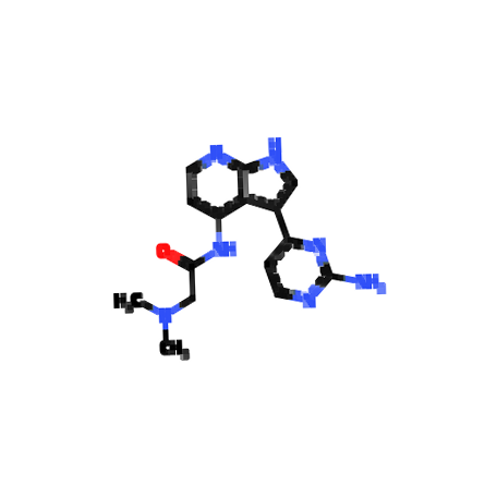 CN(C)CC(=O)Nc1ccnc2[nH]cc(-c3ccnc(N)n3)c12